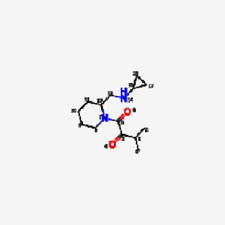 CC(C)C(=O)C(=O)N1CCCCC1CNC1CC1